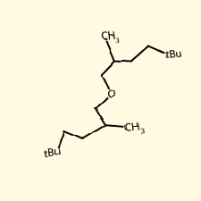 CC(CCC(C)(C)C)COCC(C)CCC(C)(C)C